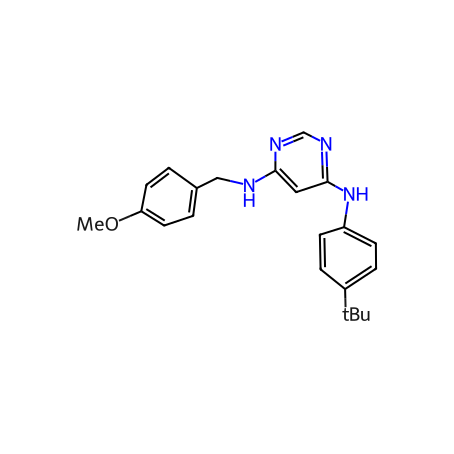 COc1ccc(CNc2cc(Nc3ccc(C(C)(C)C)cc3)ncn2)cc1